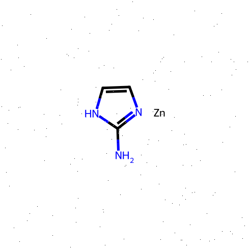 Nc1ncc[nH]1.[Zn]